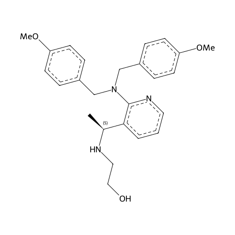 COc1ccc(CN(Cc2ccc(OC)cc2)c2ncccc2[C@H](C)NCCO)cc1